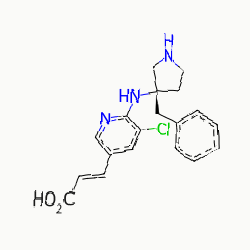 O=C(O)/C=C/c1cnc(N[C@@]2(Cc3ccccc3)CCNC2)c(Cl)c1